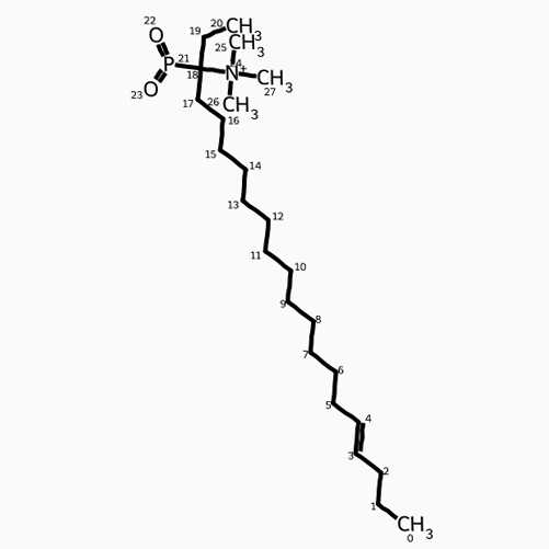 CCCC=CCCCCCCCCCCCCCC(CC)(P(=O)=O)[N+](C)(C)C